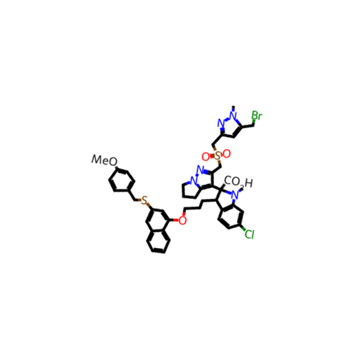 COc1ccc(CSc2cc(OCCCC3c4ccc(Cl)cc4N(C)C3(C(=O)O)c3c(CS(=O)(=O)Cc4cc(CBr)n(C)n4)nn4c3CCC4)c3ccccc3c2)cc1